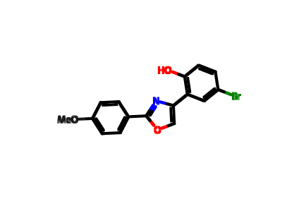 COc1ccc(-c2nc(-c3cc(Br)ccc3O)co2)cc1